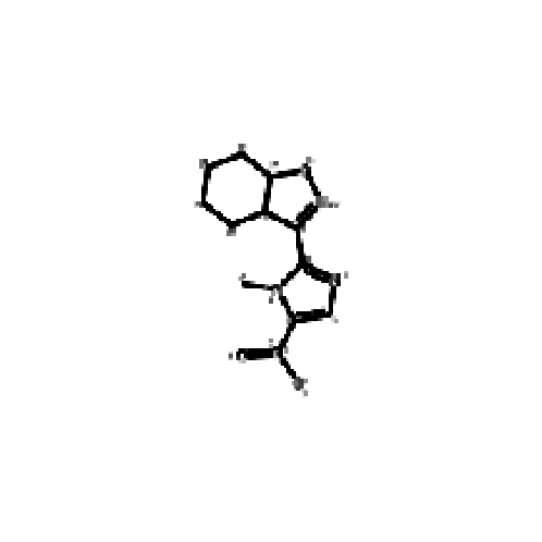 Cn1c([N+](=O)[O-])cnc1C1=NOC2CCCCC12